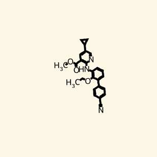 CCOc1c(Nc2ncc(C3CC3)cc2C(=O)OC)cccc1-c1ccc(C#N)cc1